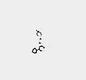 COc1ncc(-c2ccccc2)c2sc(NC(=O)N3CCC(O)(CF)CC3)nc12